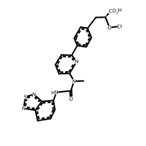 CCO[C@@H](Cc1ccc(-c2cccc(N(C)C(=O)Nc3cccc4nsnc34)n2)cc1)C(=O)O